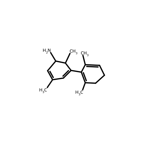 CC1=CC(N)C(C)C(C2=C(C)CCC=C2C)=C1